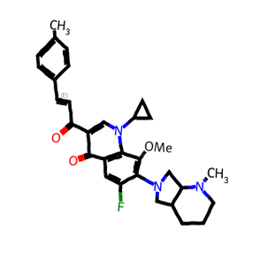 COc1c(N2CC3CCCN(C)C3C2)c(F)cc2c(=O)c(C(=O)/C=C/c3ccc(C)cc3)cn(C3CC3)c12